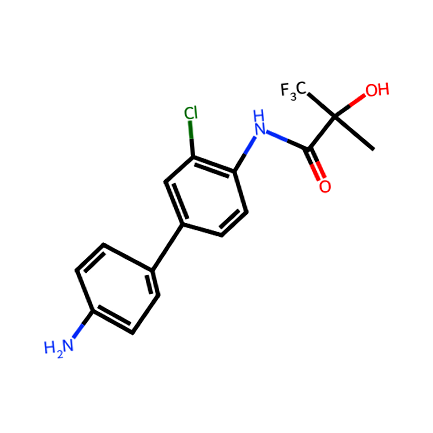 CC(O)(C(=O)Nc1ccc(-c2ccc(N)cc2)cc1Cl)C(F)(F)F